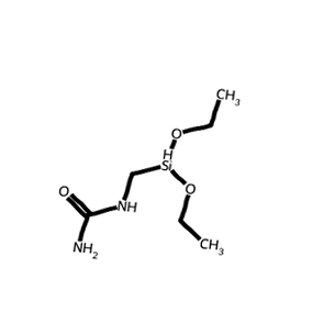 CCO[SiH](CNC(N)=O)OCC